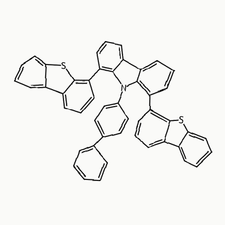 c1ccc(-c2ccc(-n3c4c(-c5cccc6c5sc5ccccc56)cccc4c4cccc(-c5cccc6c5sc5ccccc56)c43)cc2)cc1